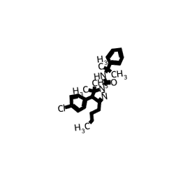 CCCCC1=NN(C(=O)NC(C)(C)c2ccccc2)C(C)(C)C1c1ccc(Cl)cc1